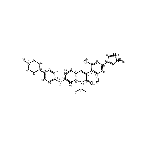 CC(C)n1c(=O)c(-c2c(Cl)cc(-c3cnn(C)c3)cc2Cl)cc2cnc(Nc3ccc(C4CCN(C)CC4)cc3)nc21